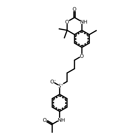 CC(=O)Nc1ccc([S+]([O-])CCCCOc2cc(C)c3c(c2)C(C)(C)OC(=O)N3)cc1